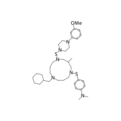 COc1cccc(N2CCN(SN3CCCN(CC4CCCCC4)CCCN(Sc4ccc(N(C)C)cc4)CC(C)C3)CC2)c1